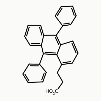 O=C(O)CCc1cccc2c(-c3ccccc3)c3ccccc3c(-c3ccccc3)c12